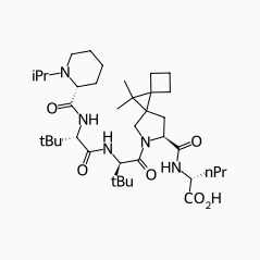 CCC[C@@H](NC(=O)[C@@H]1CC2(CN1C(=O)[C@H](NC(=O)[C@@H](NC(=O)[C@H]1CCCCN1C(C)C)C(C)(C)C)C(C)(C)C)C(C)(C)C21CCC1)C(=O)O